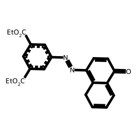 CCOC(=O)c1cc(N=NC2=C3CC=CC=C3C(=O)C=C2)cc(C(=O)OCC)c1